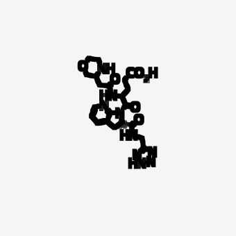 O=C(O)CCC(NC(=O)CC1COCCN1)C(=O)N1c2ncccc2C[C@H]1C(=O)NCc1nn[nH]n1